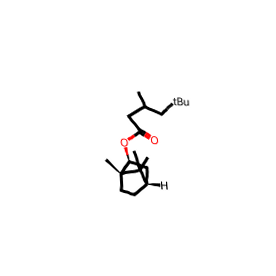 CC(CC(=O)O[C@H]1C[C@@H]2CC[C@@]1(C)C2(C)C)CC(C)(C)C